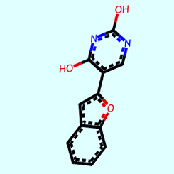 Oc1ncc(-c2cc3ccccc3o2)c(O)n1